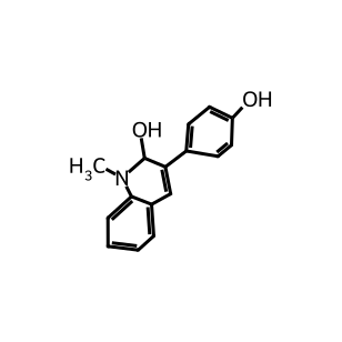 CN1c2ccccc2C=C(c2ccc(O)cc2)C1O